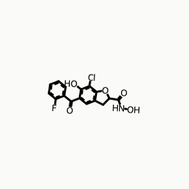 O=C(c1ccccc1F)c1cc2c(c(Cl)c1O)OC(C(=O)NO)C2